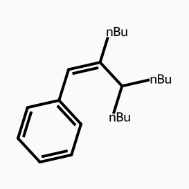 CCCC[C](CCCC)C(=Cc1ccccc1)CCCC